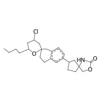 CCCCC1CC(Cl)CC2(CCc3cc(C4CCC5(COC(=O)N5)C4)ccc3C2)O1